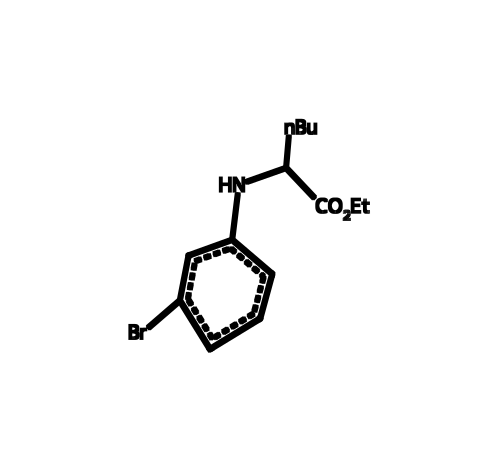 CCCCC(Nc1cccc(Br)c1)C(=O)OCC